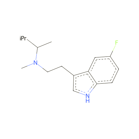 CC(C)C(C)N(C)CCc1c[nH]c2ccc(F)cc12